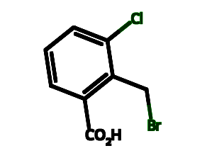 O=C(O)c1cccc(Cl)c1CBr